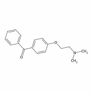 CN(C)CCOc1ccc(C(=O)c2ccccc2)cc1